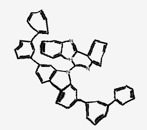 c1ccc(-c2cccc(-c3ccc4c5ccc(-c6cccc(-c7ccccc7)c6)cc5n(-c5nc6ccccc6c6nc7ccccc7n56)c4c3)c2)cc1